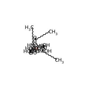 CCCCCCCCCCCC(=O)O[C@H](CCCCCCCCC)CC(=O)N[C@H]1[C@H](OC[C@H]2O[C@H](OP(=O)(O)O)[C@H](NC(=O)C[C@H](O)CCCCCCCCC)[C@@H](O)[C@@H]2O)O[C@H](CO)[C@@H](OP(=O)(O)O)[C@@H]1O